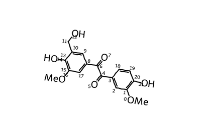 COc1cc(C(=O)C(=O)c2cc(CO)c(O)c(OC)c2)ccc1O